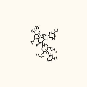 CC1CN(c2c(F)c(Nc3cncc(Cl)n3)c3c(=O)c(C(=O)O)cn(C4CC4)c3c2F)CC(C)N1c1cncc(Cl)n1